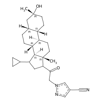 C[C@@]1(O)CC[C@H]2[C@H](CC[C@@H]3[C@@H]2CC[C@]2(C)C(C(=O)Cn4cc(C#N)cn4)CC(C4CC4)[C@@H]32)C1